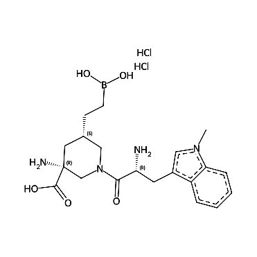 Cl.Cl.Cn1cc(C[C@@H](N)C(=O)N2C[C@@H](CCB(O)O)C[C@](N)(C(=O)O)C2)c2ccccc21